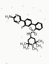 CN1C(C)(C)CC(NS(=O)(=O)c2ccccc2-c2ccc(-c3cnc(N)cn3)c(F)c2)CC1(C)C